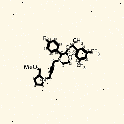 COCC1CCCN1CC#CCN1CCOC(O[C@H](C)c2cc(C(F)(F)F)cc(C(F)(F)F)c2)C1c1ccc(F)cc1